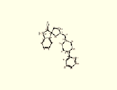 O=C1Nc2ccccc2C12COC(CN1CCN(c3ccccn3)CC1)C2